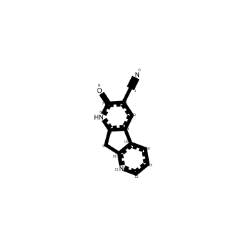 N#Cc1cc2c([nH]c1=O)Cc1ncccc1-2